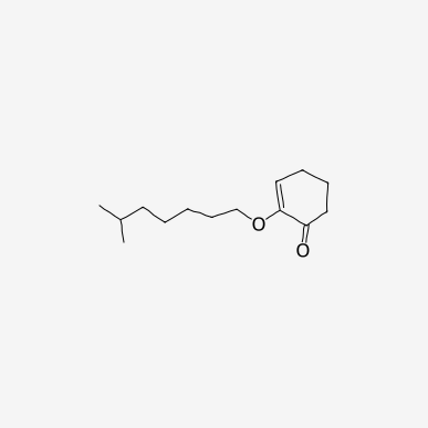 CC(C)CCCCCOC1=CCCCC1=O